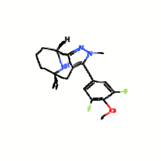 COc1c(F)cc(-c2c3c(nn2C)[C@H]2CCC[C@@H](C3)N2)cc1F